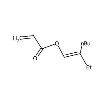 C=CC(=O)OC=C(CC)CCCC